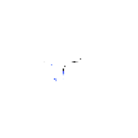 CCCn1nnnc1CCC(=O)O